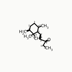 C=C1CCC(C)C(/C=C/C(=O)CC)C1(C)C